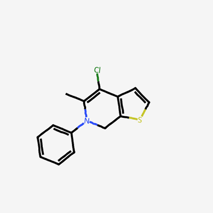 CC1=C(Cl)c2ccsc2CN1c1ccccc1